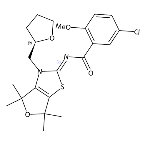 COc1ccc(Cl)cc1C(=O)/N=c1\sc2c(n1C[C@H]1CCCO1)C(C)(C)OC2(C)C